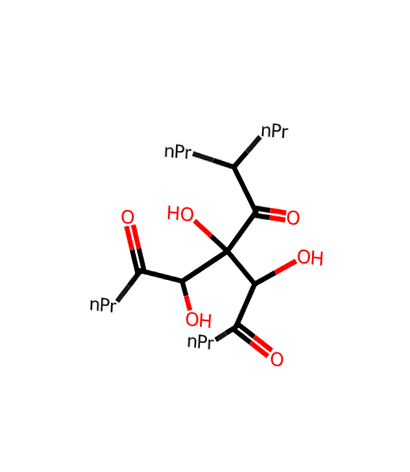 CCCC(=O)C(O)C(O)(C(=O)C(CCC)CCC)C(O)C(=O)CCC